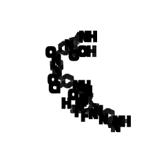 Cn1c(-c2cn(-c3ccc4[nH]ncc4n3)nc2C(F)(F)F)cnc1C(=O)Nc1ccc(C(=O)N2CCN(C(=O)C3CC[N+](CC(=O)O)(CC4CNC4)CC3)CC2)c(Cl)c1